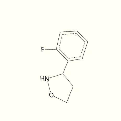 Fc1ccccc1C1CCON1